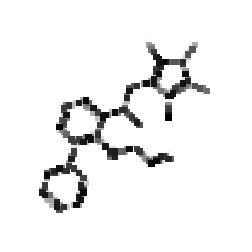 C=CCOc1c(-c2ccccc2)cccc1C(C)CC1=C(C)C(C)C(C)=C1C